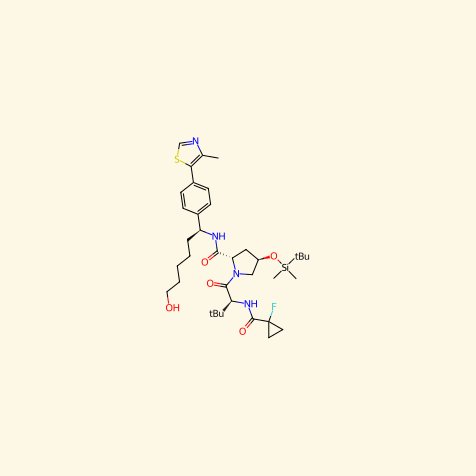 Cc1ncsc1-c1ccc([C@H](CCCCCO)NC(=O)[C@@H]2C[C@@H](O[Si](C)(C)C(C)(C)C)CN2C(=O)[C@@H](NC(=O)C2(F)CC2)C(C)(C)C)cc1